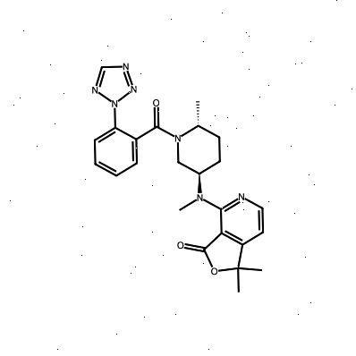 C[C@@H]1CC[C@@H](N(C)c2nccc3c2C(=O)OC3(C)C)CN1C(=O)c1ccccc1-n1ncnn1